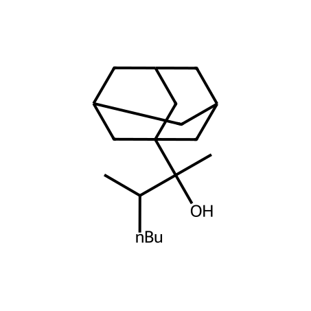 CCCCC(C)C(C)(O)C12CC3CC(CC(C3)C1)C2